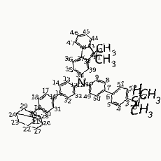 C[SiH](C)c1ccc(-c2ccc(N(c3ccc(-c4ccc(C56CC7CC(CC(C7)C5)C6)cc4)cc3)c3ccc4c(c3)C(C)(C)c3ccccc3-4)cc2)cc1